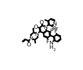 C=CC(=O)N1CC2COc3c(c4cc(F)c(-c5c(N)cccc5F)c(F)c4n(-c4c(C)ccnc4C(C)C)c3=O)N2CC1C